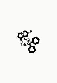 CC(C)(C)[Si](OC[C@]12C[C@@H](F)CN1CCC2=O)(c1ccccc1)c1ccccc1